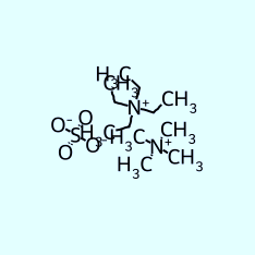 CC[N+](CC)(CC)CC.C[N+](C)(C)C.O=S(=O)([O-])[O-]